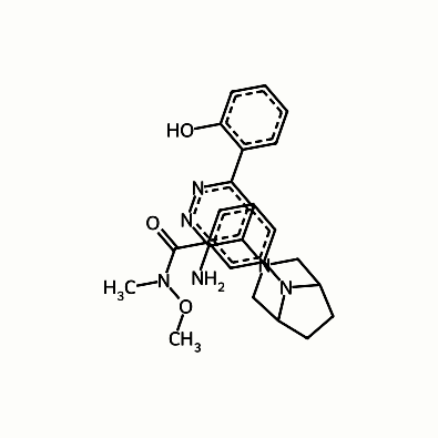 CON(C)C(=O)c1cccc(N2C3CCC2CN(c2cc(-c4ccccc4O)nnc2N)C3)c1